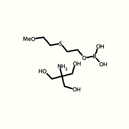 COCCSCCOB(O)O.NC(CO)(CO)CO